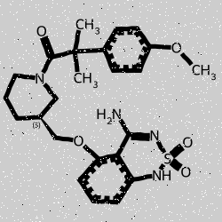 COc1ccc(C(C)(C)C(=O)N2CCC[C@H](COc3cccc4c3C(N)=NS(=O)(=O)N4)C2)cc1